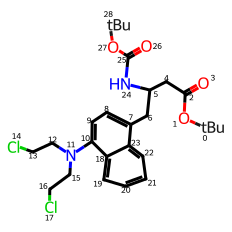 CC(C)(C)OC(=O)CC(Cc1ccc(N(CCCl)CCCl)c2ccccc12)NC(=O)OC(C)(C)C